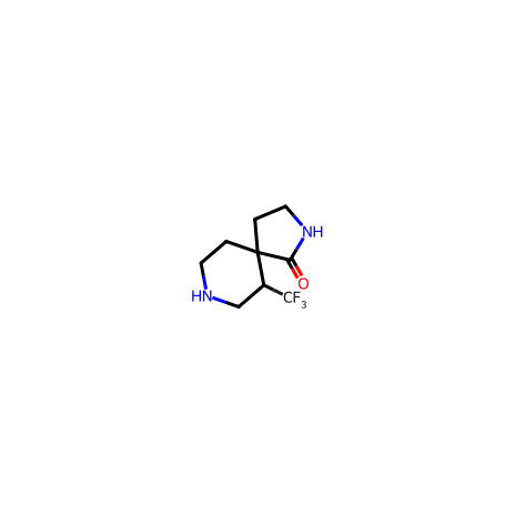 O=C1NCCC12CCNCC2C(F)(F)F